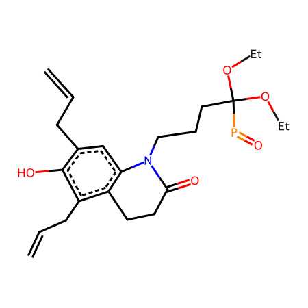 C=CCc1cc2c(c(CC=C)c1O)CCC(=O)N2CCCC(OCC)(OCC)P=O